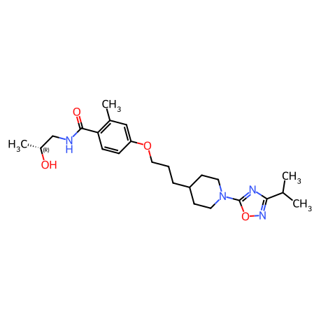 Cc1cc(OCCCC2CCN(c3nc(C(C)C)no3)CC2)ccc1C(=O)NC[C@@H](C)O